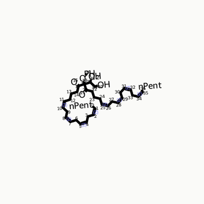 CCCCC/C=C\C/C=C\C/C=C\C/C=C\CCCC(=O)C(OP)(C(=O)CCC/C=C\C/C=C\C/C=C\C/C=C\CCCCC)C(O)CO